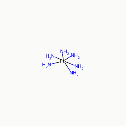 [NH2][Pt]([NH2])([NH2])([NH2])([NH2])[NH2]